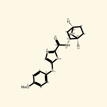 COc1ccc(Sc2cnc(C(=O)N[C@@H]3C[C@H]4CC[C@@H]3N4)s2)cc1